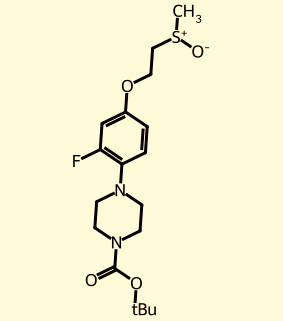 C[S+]([O-])CCOc1ccc(N2CCN(C(=O)OC(C)(C)C)CC2)c(F)c1